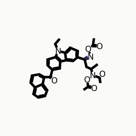 CCn1c2ccc(C(=O)c3cccc4ccccc34)cc2c2cc(/C(CC(C)N(OC(C)=O)C(C)=O)=N\OC(C)=O)ccc21